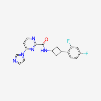 O=C(NC1CC(c2ccc(F)cc2F)C1)c1nccc(-n2ccnc2)n1